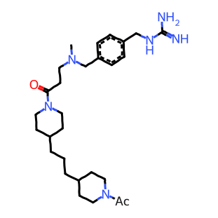 CC(=O)N1CCC(CCCC2CCN(C(=O)CCN(C)Cc3ccc(CNC(=N)N)cc3)CC2)CC1